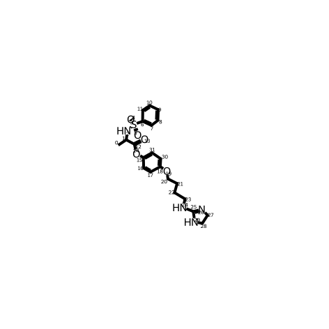 CC(NS(=O)(=O)c1ccccc1)C(=O)Oc1ccc(OCCCCNC2=NCCN2)cc1